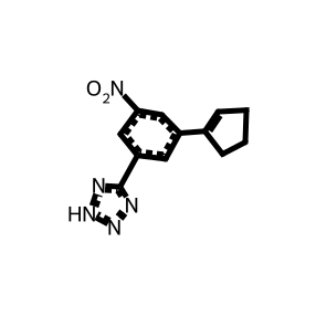 O=[N+]([O-])c1cc(C2=CCCC2)cc(-c2nn[nH]n2)c1